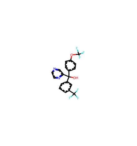 OC(c1ccc(OC(F)(F)F)cc1)(c1cccc(C(F)(F)F)c1)c1cnccn1